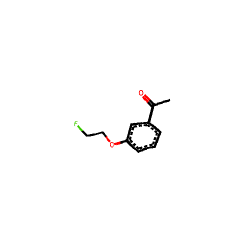 CC(=O)c1cccc(OCCF)c1